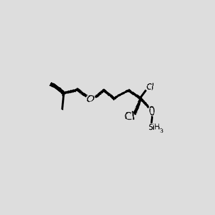 C=C(C)COCCCC(Cl)(Cl)O[SiH3]